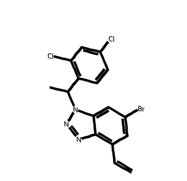 C=Cc1cc(Br)cc2c1nnn2C(C)c1ccc(Cl)cc1Cl